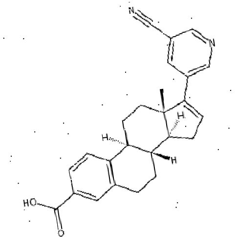 C[C@]12CC[C@@H]3c4ccc(C(=O)O)cc4CC[C@H]3[C@@H]1CC=C2c1cncc(C#N)c1